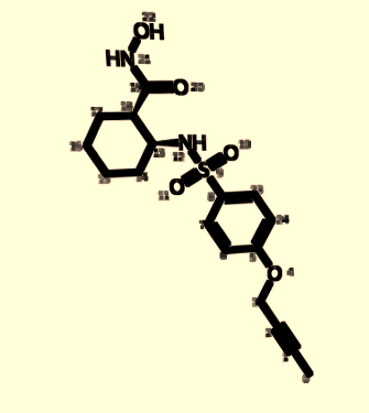 CC#CCOc1ccc(S(=O)(=O)N[C@H]2CCCC[C@H]2C(=O)NO)cc1